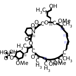 CO[C@H]1C[C@H](CC[C@@H](C)CO)OCC(=O)C(=O)N2CCCC[C@H]2C(=O)O[C@H]([C@H](C)C[C@@H]2CCC(OP(=O)(O)O)[C@H](OC)C2)CC(=O)[C@H](C)/C=C(\C)[C@@H](O)[C@@H](OC)C(=O)[C@H](C)CC/C=C/C=C/C=C/1C